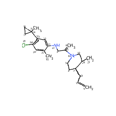 C=CCC1CCN(C(=C)CNc2cc(C3(C)CC3)c(Cl)cc2C)CC1C